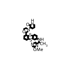 COc1cncc(C(C)Nc2ccc3c(c2)Sc2cccc(C4CN(c5ccc[nH]c5=O)CCO4)c2S3)n1